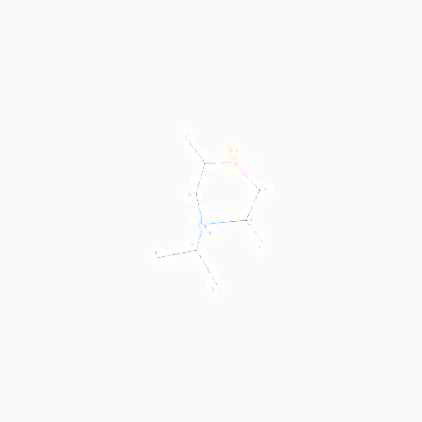 CC1BCC(C)N(C(C)C)C1